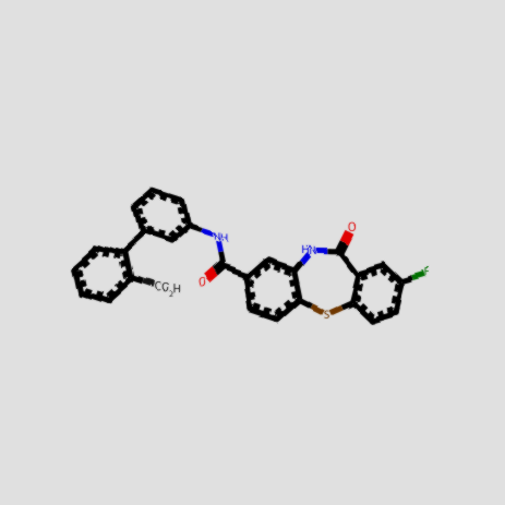 O=C(Nc1cccc(-c2ccccc2C(=O)O)c1)c1ccc2c(c1)NC(=O)c1cc(F)ccc1S2